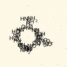 CC[C@H](C)[C@@H]1NC(=O)[C@@H](CCCNC(=N)N)NC(=O)[C@H](CC(C)C)NC(=O)[C@H]([C@H](O)C(C)C)NC(=O)[C@@H](NC(=O)[C@H](CC(C)C)NC(=O)[C@H]2CCCN2C(=O)OC(C)(C)C)[C@@H](c2ccccc2)OC(=O)[C@H](CO)NC(=O)[C@H]([C@H](O)C(N)=O)NC(=O)CNC(=O)[C@H]([C@H](C)O)NC1O